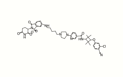 CC1(C)C(NC(=O)c2ccc(N3CCN(CCCCCNc4ccc5c(c4)S(=O)(=O)N(C4CCC(=O)NC4=O)C5=O)CC3)nc2)C(C)(C)C1Oc1ccc(C#N)c(Cl)c1